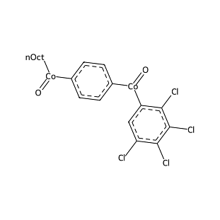 CCCCCCC[CH2][Co](=[O])[c]1cc[c]([Co](=[O])[c]2cc(Cl)c(Cl)c(Cl)c2Cl)cc1